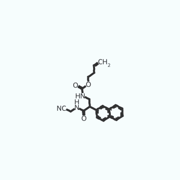 C=CCCOC(=O)NCC(C(=O)NCC#N)c1ccc2ccccc2c1